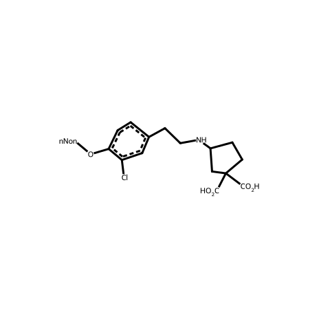 CCCCCCCCCOc1ccc(CCNC2CCC(C(=O)O)(C(=O)O)C2)cc1Cl